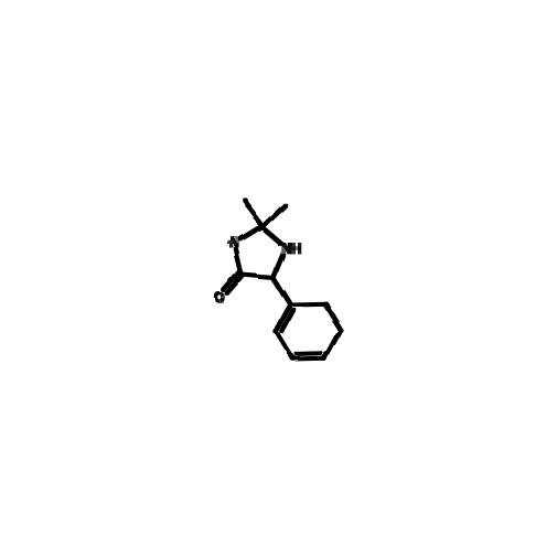 CC1(C)[N]C(=O)C(C2=CC=CCC2)N1